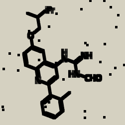 Cc1ccccc1-c1cc(NC(=N)NC=O)c2cc(OCC(C)C(C)C)ccc2n1